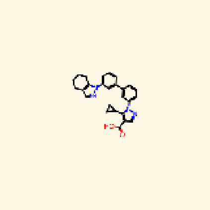 O=C(O)c1cnn(-c2cccc(-c3cccc(-n4ncc5c4CCCC5)c3)c2)c1C1CC1